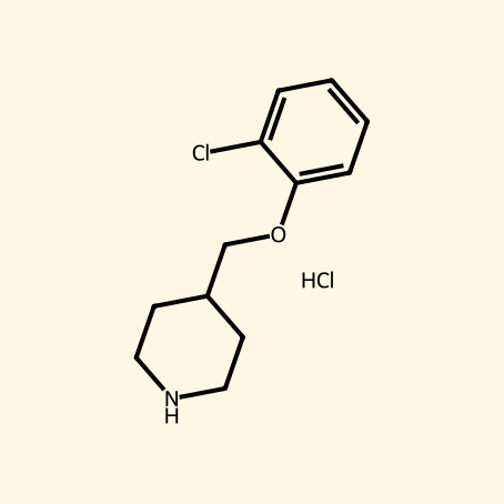 Cl.Clc1ccccc1OCC1CCNCC1